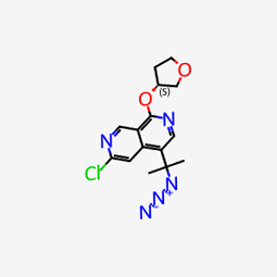 CC(C)(N=[N+]=[N-])c1cnc(O[C@H]2CCOC2)c2cnc(Cl)cc12